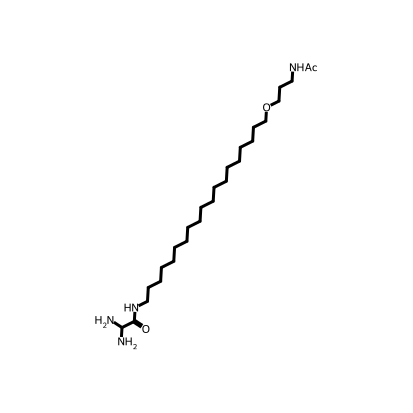 CC(=O)NCCCOCCCCCCCCCCCCCCCCCCCNC(=O)C(N)N